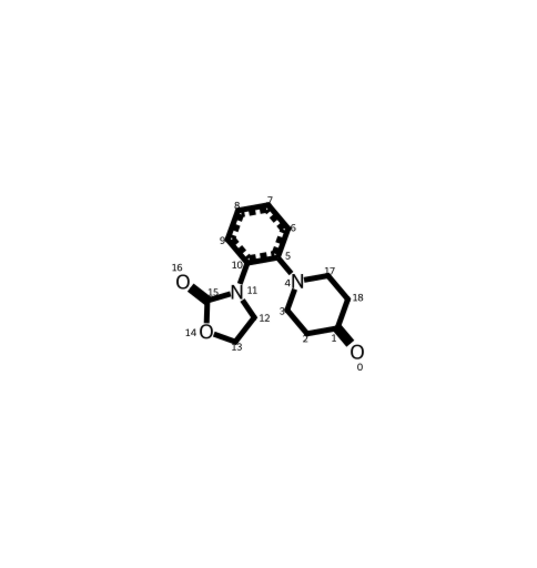 O=C1CCN(c2ccccc2N2CCOC2=O)CC1